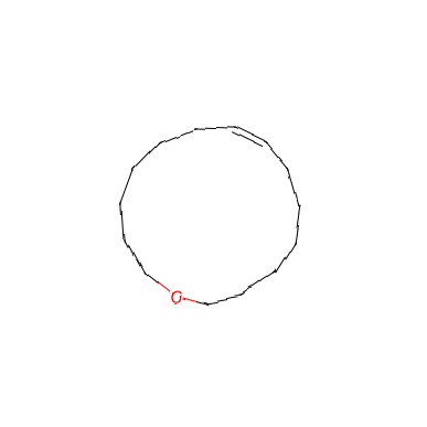 C1=CCCCCCCOCCCCCC1